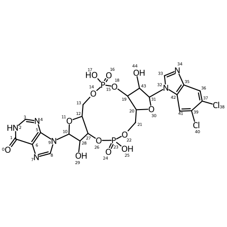 O=c1[nH]cnc2c1ncn2C1OC2COP(=O)(O)OC3C(COP(=O)(O)OC2C1O)OC(n1cnc2cc(Cl)c(Cl)cc21)C3O